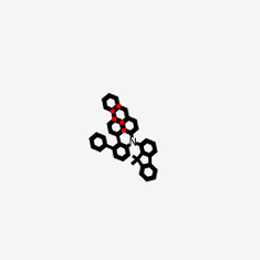 CC1(C)c2ccccc2-c2cccc(N(c3ccc4ccccc4c3)c3cccc(-c4ccccc4)c3-c3ccc(-c4ccccc4)cc3)c21